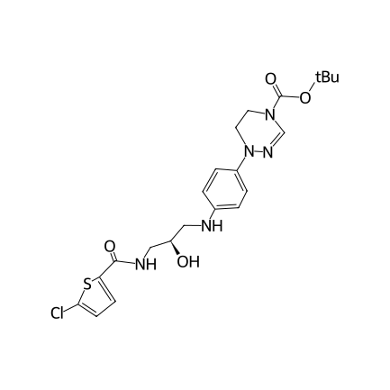 CC(C)(C)OC(=O)N1C=NN(c2ccc(NC[C@@H](O)CNC(=O)c3ccc(Cl)s3)cc2)CC1